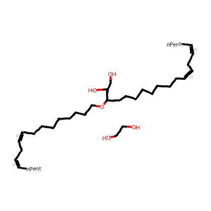 CCCCC/C=C\C/C=C\CCCCCCCCOC(CCCCCCCC/C=C\C/C=C\CCCCC)C(O)CO.OCCO